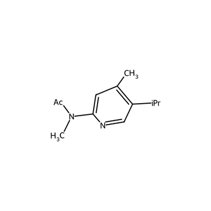 CC(=O)N(C)c1cc(C)c(C(C)C)cn1